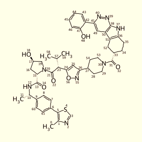 Cc1ncsc1-c1ccc([C@H](C)NC(=O)[C@@H]2C[C@@H](O)CN2C(=O)[C@@H](c2cc(C3CCN(C(=O)[C@H]4CCc5[nH]c6nnc(-c7ccccc7O)cc6c5C4)CC3)no2)C(C)C)cc1